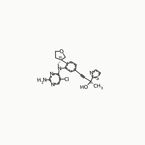 C[C@](O)(C#Cc1ccc2c(c1)N(c1nc(N)ncc1Cl)C[C@@]21CCOC1)c1nccs1